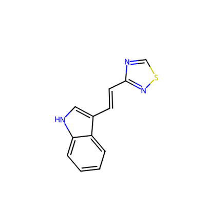 C(=C\c1c[nH]c2ccccc12)/c1ncsn1